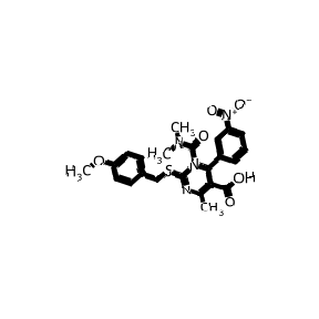 COc1ccc(CSC2=NC(C)=C(C(=O)O)C(c3cccc([N+](=O)[O-])c3)N2C(=O)N(C)C)cc1